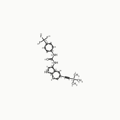 C[Si](C)(C)C#Cc1cnc2[nH]cc(NC(=O)Nc3ccc(C(F)(F)F)cc3)c2c1